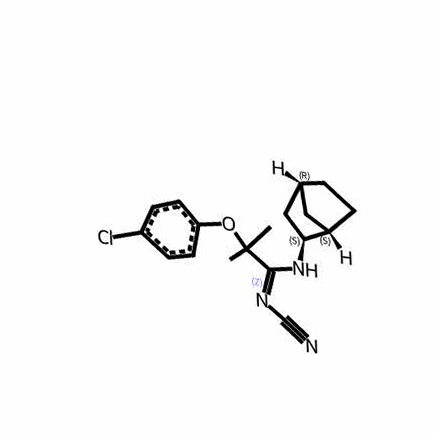 CC(C)(Oc1ccc(Cl)cc1)/C(=N/C#N)N[C@H]1C[C@@H]2CC[C@H]1C2